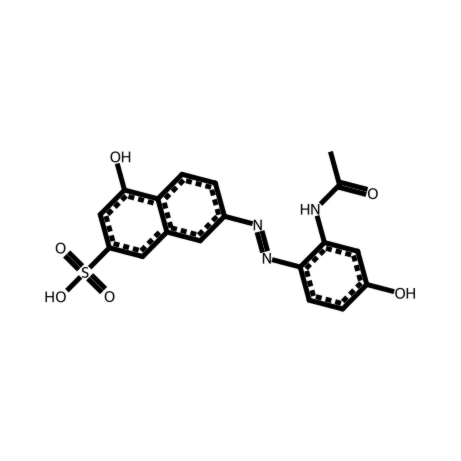 CC(=O)Nc1cc(O)ccc1N=Nc1ccc2c(O)cc(S(=O)(=O)O)cc2c1